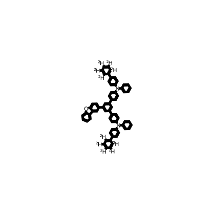 [2H]c1c([2H])c([2H])c(-c2ccc(N(c3ccccc3)c3ccc(-c4cc(-c5ccc(N(c6ccccc6)c6ccc(-c7c([2H])c([2H])c([2H])c([2H])c7[2H])cc6)cc5)cc(-c5ccc6oc7ccccc7c6c5)c4)cc3)cc2)c([2H])c1[2H]